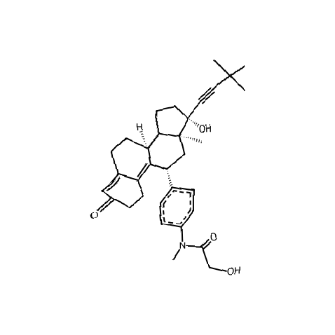 CN(C(=O)CO)c1ccc([C@H]2C[C@@]3(C)C(CC[C@@]3(O)C#CC(C)(C)C)[C@@H]3CCC4=CC(=O)CCC4=C32)cc1